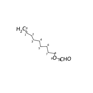 C=CCCCCCCCOC=O